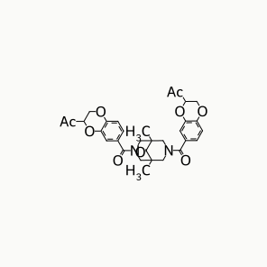 CC(=O)C1COc2ccc(C(=O)N3CC4(C)CN(C(=O)c5ccc6c(c5)OC(C(C)=O)CO6)CC(C)(C3)C4=O)cc2O1